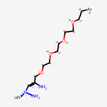 CCCN(N)/C=C(\N)COCCOCCOCCOCCC(C)=O